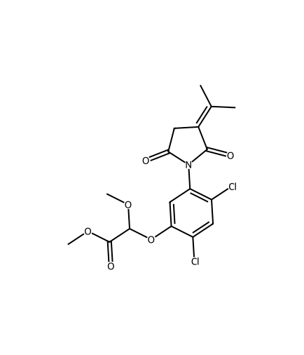 COC(=O)C(OC)Oc1cc(N2C(=O)CC(=C(C)C)C2=O)c(Cl)cc1Cl